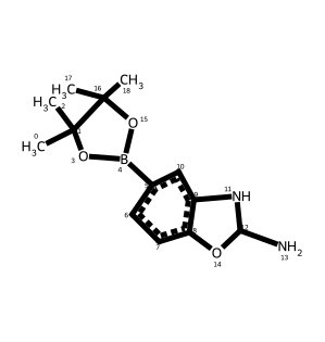 CC1(C)OB(c2ccc3c(c2)NC(N)O3)OC1(C)C